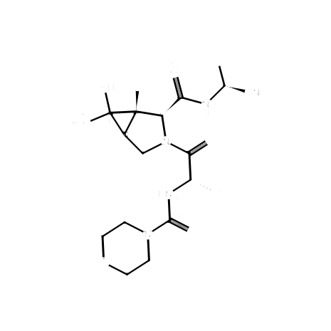 C[C@@H](C#N)NC(=O)[C@@H]1[C@@H]2C(CN1C(=O)[C@@H](NC(=O)N1CCOCC1)C(C)(C)C)C2(C)C